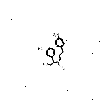 CN(CCCc1ccc([N+](=O)[O-])cc1)C(CO)c1ccccc1.Cl